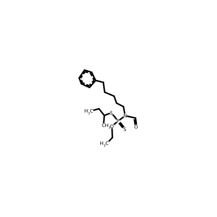 CCOP(=S)(SC(C)CC)N(C=O)CCCCCc1ccccc1